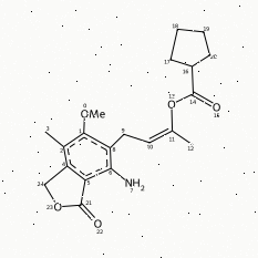 COc1c(C)c2c(c(N)c1CC=C(C)OC(=O)C1CCCC1)C(=O)OC2